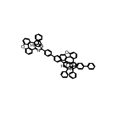 c1ccc(-c2ccc(C3=NC(c4ccccc4)NC(c4cccc5oc6cccc(-c7ccc(-c8ccccc8)c8ccc(-c9ccc(-c%10ccc(C%11=NC(c%12ccccc%12)NC(c%12cccc%13oc%14cccc(-c%15ccccc%15)c%14c%12%13)=N%11)cc%10)cc9)cc78)c6c45)N3)cc2)cc1